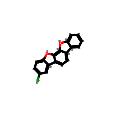 Brc1ccc2oc3c(ccc4c5ccccc5oc43)c2c1